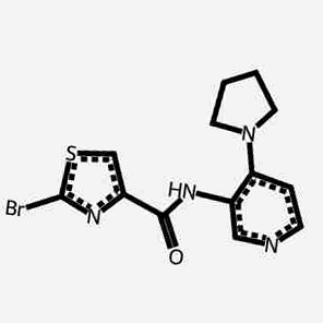 O=C(Nc1cnccc1N1CCCC1)c1csc(Br)n1